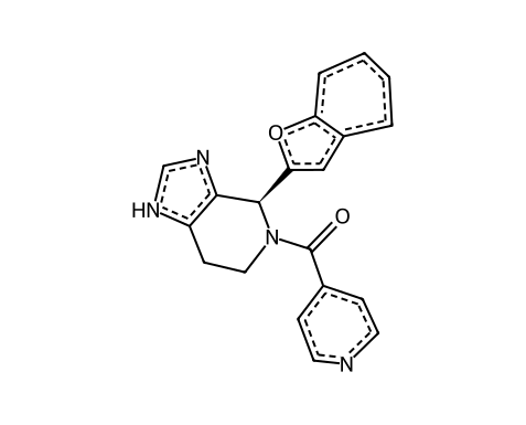 O=C(c1ccncc1)N1CCc2[nH]cnc2[C@H]1c1cc2ccccc2o1